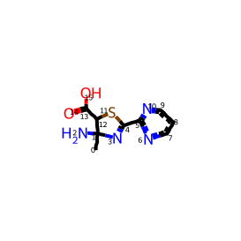 CC1(N)N=C(c2ncccn2)SC1C(=O)O